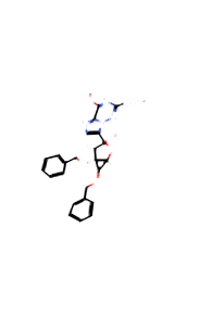 CCOc1nc(SC)nn2c([C@]3(O)O[C@@H]4C(OCc5ccccc5)[C@]4(OCc4ccccc4)[C@H]3F)cnc12